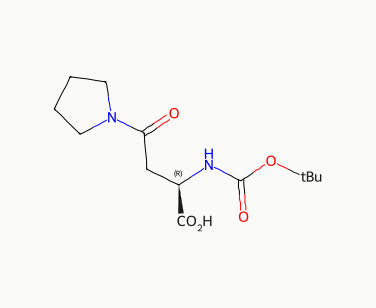 CC(C)(C)OC(=O)N[C@H](CC(=O)N1CCCC1)C(=O)O